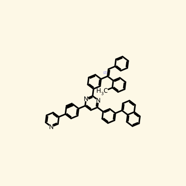 Cc1ccccc1/C(=C\c1ccccc1)c1cccc(-c2nc(-c3c#cc(-c4cccnc4)cc3)cc(-c3cccc(-c4cccc5ccccc45)c3)n2)c1